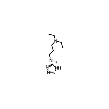 CCN(CC)CCCN.c1nnn[nH]1